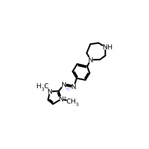 Cn1cc[n+](C)c1/N=N/c1ccc(N2CCCNCC2)cc1